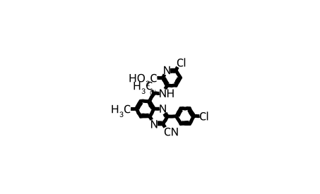 Cc1cc([C@@H](C)Nc2ccc(Cl)nc2C(=O)O)c2nc(-c3ccc(Cl)cc3)c(C#N)nc2c1